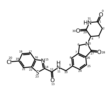 O=C1CCC(N2Cc3cc(CNC(=O)c4nc5ccc(Cl)cc5s4)ccc3C2=O)C(=O)N1